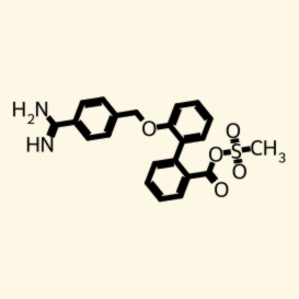 CS(=O)(=O)OC(=O)c1ccccc1-c1ccccc1OCc1ccc(C(=N)N)cc1